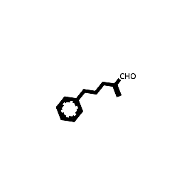 C=C(C=O)CCCc1ccccc1